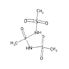 CP(=O)(NS(C)(=O)=O)NS(C)(=O)=O